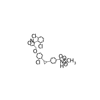 CS(=O)(=O)NC(=O)c1ccc(C2CC2c2ccc(OCc3conc3-c3c(Cl)cccc3Cl)cc2Cl)cc1